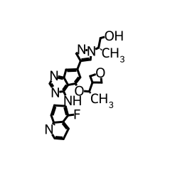 C[C@@H](Oc1cc(-c2cnn([C@@H](C)CO)c2)cc2ncnc(Nc3ccc4ncccc4c3F)c12)C1COC1